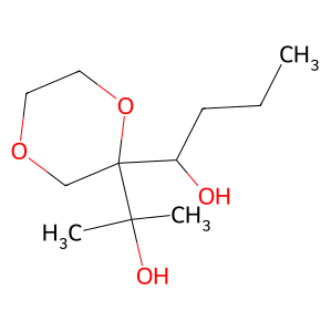 CCCC(O)C1(C(C)(C)O)COCCO1